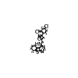 Clc1ccc(-c2cc(CNc3ncnc4sc5c(c34)CCCC5)on2)c(Cl)c1